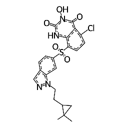 CC1(C)CC1CCn1ncc2ccc(S(=O)(=O)c3ccc(Cl)c4c(=O)n(O)c(=O)[nH]c34)cc21